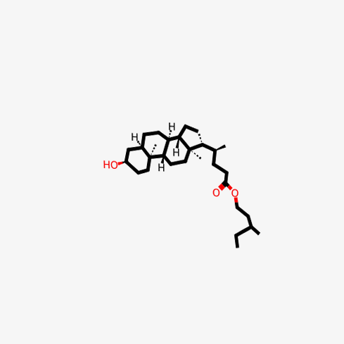 CCC(C)CCOC(=O)CC[C@H](C)[C@H]1CC[C@H]2[C@@H]3CC[C@@H]4C[C@H](O)CC[C@]4(C)[C@H]3CC[C@]12C